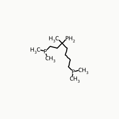 CP(C)CCCCC(C)(P)CCP(C)C